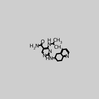 CC(C)Nc1nc(N[C@@H]2CCc3ncccc3C2)ncc1C(N)=O